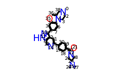 CN1CCN2c3ccc(-c4n[nH]c5cnc(-c6ccc(C(=O)N7CC(N(C)C)C7)cc6)cc45)cc3OCC2C1